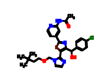 CC(=O)Nc1cc(-c2nc(C(O)c3ccc(Cl)cc3)c(-c3nccn3COCC[Si](C)(C)C)s2)ccn1